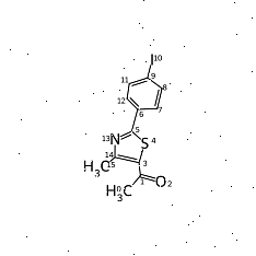 CC(=O)c1sc(-c2ccc(I)cc2)nc1C